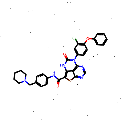 O=C(Nc1ccc(CN2CCCCC2)cc1)c1sc2ncnc3c2c1NC(=O)N3c1ccc(Oc2ccccc2)c(Cl)c1